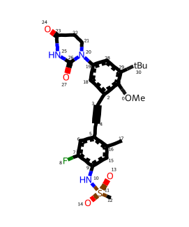 COc1c(C#Cc2cc(F)c(NS(C)(=O)=O)cc2C)cc(N2CCC(=O)NC2=O)cc1C(C)(C)C